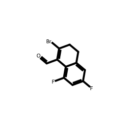 O=CC1=C(Br)CCc2cc(F)cc(F)c21